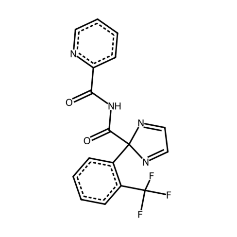 O=C(NC(=O)C1(c2ccccc2C(F)(F)F)N=CC=N1)c1ccccn1